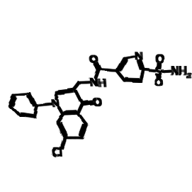 NS(=O)(=O)c1ccc(C(=O)NCc2cn(-c3ccccc3)c3cc(Cl)ccc3c2=O)cn1